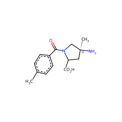 Cc1ccc(C(=O)N2C[C@@](C)(N)CC2C(=O)O)cc1